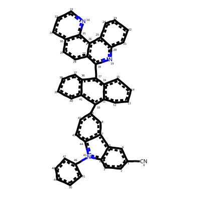 N#Cc1ccc2c(c1)c1cc(-c3c4ccccc4c(-c4nc5ccccc5c5c4ccc4cccnc45)c4ccccc34)ccc1n2-c1ccccc1